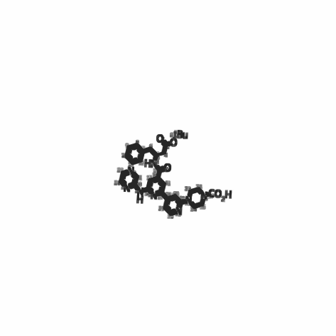 CC(C)(C)OC(=O)C[C@H](Cc1ccccc1)NC(=O)c1cc(Nc2cnccn2)nc(-c2ccnc(N3CCN(C(=O)O)CC3)c2)c1